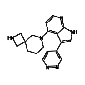 c1cc(-c2c[nH]c3nccc(N4CCCC5(CNC5)C4)c23)cnn1